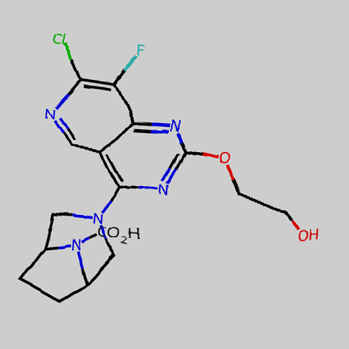 O=C(O)N1C2CCC1CN(c1nc(OCCO)nc3c(F)c(Cl)ncc13)C2